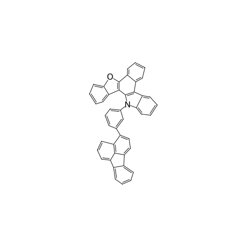 c1cc(-c2ccc3c4c(cccc24)-c2ccccc2-3)cc(-n2c3ccccc3c3c4ccccc4c4oc5ccccc5c4c32)c1